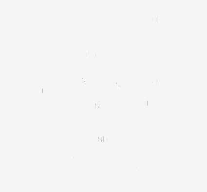 CCCNC(Cc1c(C)nc2n(-c3c(C)cc(C)cc3C)c(Cl)cn12)C1CC1